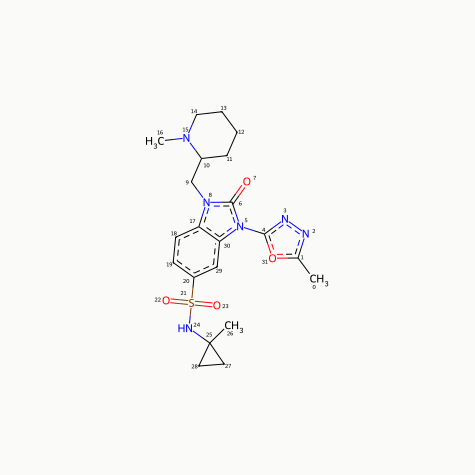 Cc1nnc(-n2c(=O)n(CC3CCCCN3C)c3ccc(S(=O)(=O)NC4(C)CC4)cc32)o1